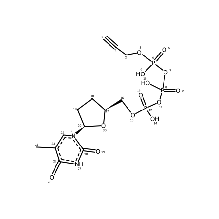 C#CCOP(=O)(O)OP(=O)(O)OP(=O)(O)OC[C@@H]1CC[C@H](n2cc(C)c(=O)[nH]c2=O)O1